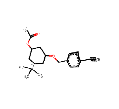 C#Cc1ccc(COC2CC(OC(C)=O)C[C@@H](C(C)(C)C)C2)cc1